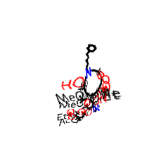 CCC(=O)O[C@@H]1CC(=O)O[C@H](C)CCN(CCCCCc2ccccc2)C[C@H](O)[C@H](C)C[C@H](CC(OC)OC)[C@H]([C@@H]2O[C@H](C)[C@@H](O[C@@H]3C[C@@](C)(OC(C)=O)[C@@H](OC(=O)CC)[C@H](C)O3)[C@H](N(C)C)[C@H]2O)[C@@H]1OC